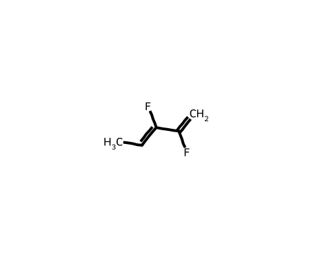 C=C(F)C(F)=CC